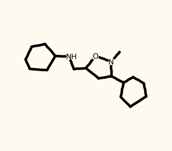 CN1OC(CNC2CCCCC2)CC1C1CCCCC1